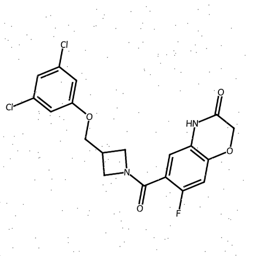 O=C1COc2cc(F)c(C(=O)N3CC(COc4cc(Cl)cc(Cl)c4)C3)cc2N1